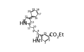 CCOC(=O)c1ccc2[nH]cc(CCCCC3CC(c4ccccc4)=CCN3)c2c1